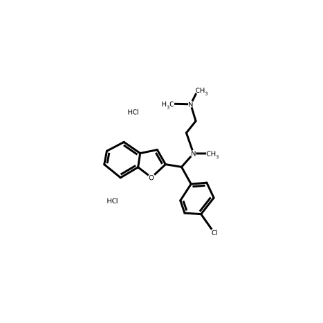 CN(C)CCN(C)C(c1ccc(Cl)cc1)c1cc2ccccc2o1.Cl.Cl